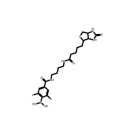 O=C(CCCCC1SCC2NC(=O)NC21)NCCCCNC(=O)c1cc(F)c(B(O)O)c(F)c1